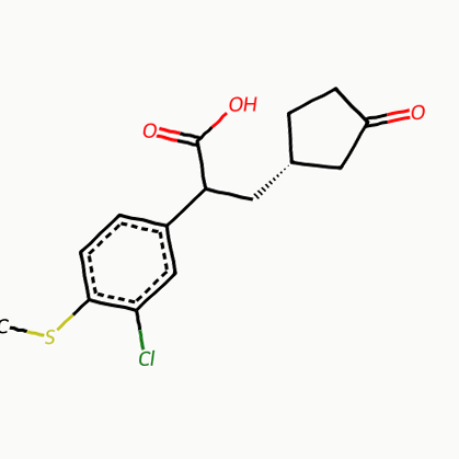 CSc1ccc(C(C[C@@H]2CCC(=O)C2)C(=O)O)cc1Cl